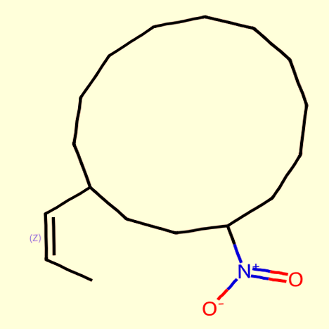 C/C=C\C1CCCCCCCCCCC([N+](=O)[O-])CC1